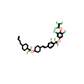 C=CCCC1CCC(C(F)(F)OC2CCC(/C=C/c3ccc(C(F)(F)Oc4cc(F)c(OC(F)=C(F)F)c(F)c4)c(F)c3)CC2)CC1